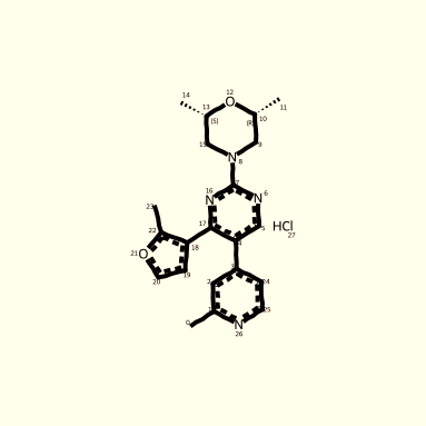 Cc1cc(-c2cnc(N3C[C@@H](C)O[C@@H](C)C3)nc2-c2ccoc2C)ccn1.Cl